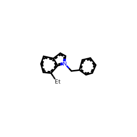 CCc1cccc2ccn(Cc3ccccc3)c12